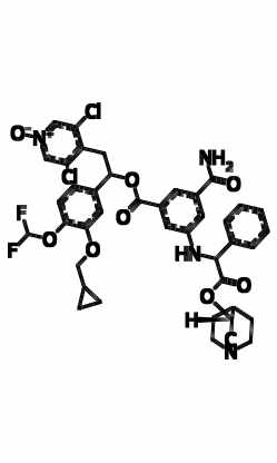 NC(=O)c1cc(NC(C(=O)O[C@H]2CN3CCC2CC3)c2ccccc2)cc(C(=O)OC(Cc2c(Cl)c[n+]([O-])cc2Cl)c2ccc(OC(F)F)c(OCC3CC3)c2)c1